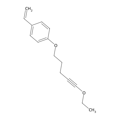 C=Cc1ccc(OCCCC#COCC)cc1